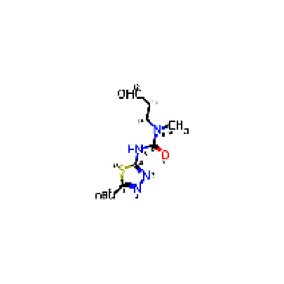 CCCCc1nnc(NC(=O)N(C)CCC=O)s1